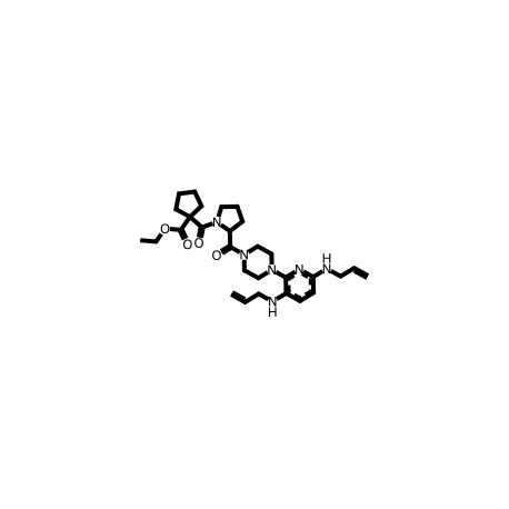 C=CCNc1ccc(NCC=C)c(N2CCN(C(=O)C3CCCN3C(=O)C3(C(=O)OCC)CCCC3)CC2)n1